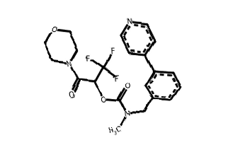 CN(Cc1cccc(-c2ccncc2)c1)C(=O)OC(C(=O)N1CCOCC1)C(F)(F)F